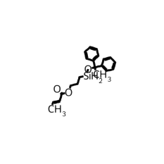 CC=CC(=O)OCCC[SiH2]OC(C)(c1ccccc1)c1ccccc1